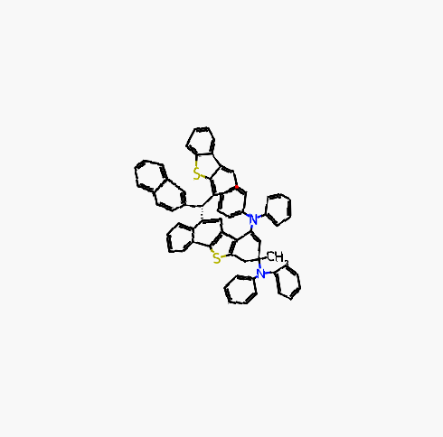 CC1(N(c2ccccc2)c2ccccc2)C=C(N(c2ccccc2)c2ccccc2)c2c(sc3c2cc([C@H](c2ccc4ccccc4c2)c2cccc4c2sc2ccccc24)c2ccccc23)C1